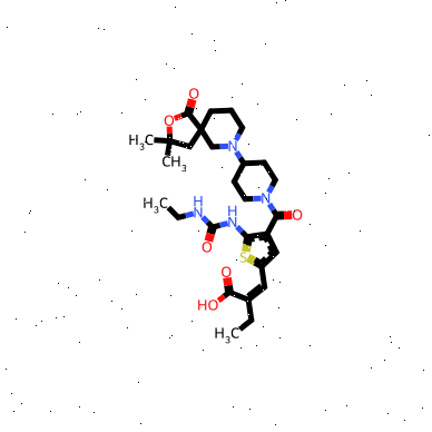 CCNC(=O)Nc1sc(C=C(CC)C(=O)O)cc1C(=O)N1CCC(N2CCCC3(C2)CC(C)(C)OC3=O)CC1